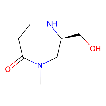 CN1C[C@H](CO)NCCC1=O